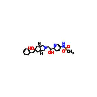 CS(=O)(=O)Nc1ccc(C(O)CN2C[C@@H]3C[C@](O)(Cc4ccccc4)C[C@@H]3C2)nc1